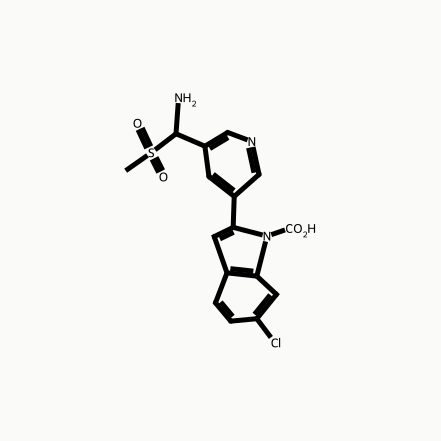 CS(=O)(=O)C(N)c1cncc(-c2cc3ccc(Cl)cc3n2C(=O)O)c1